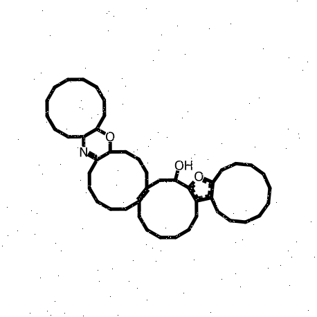 OC1C/C2=C(\CCCCCCc3c1oc1c3CCCCCCCCCC1)CCCCCC1=NC3CCCCCCCCCCC3OC1CCC2